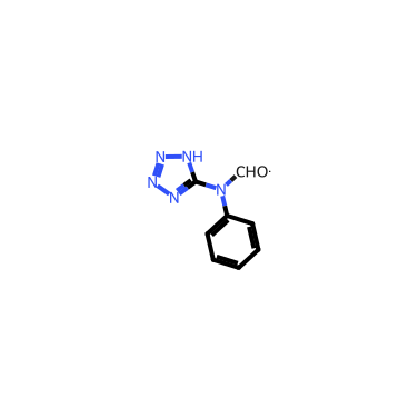 O=[C]N(c1ccccc1)c1nnn[nH]1